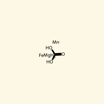 O=C(O)O.[Fe].[MgH2].[Mn]